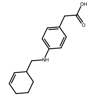 O=C(O)Cc1ccc(NCC2C=CCCC2)cc1